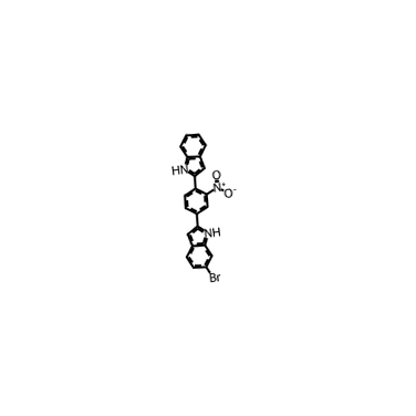 O=[N+]([O-])c1cc(-c2cc3ccc(Br)cc3[nH]2)ccc1-c1cc2ccccc2[nH]1